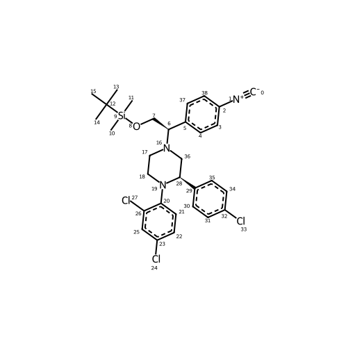 [C-]#[N+]c1ccc([C@H](CO[Si](C)(C)C(C)(C)C)N2CCN(c3ccc(Cl)cc3Cl)[C@H](c3ccc(Cl)cc3)C2)cc1